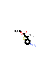 CCOC(=O)c1sc2ccc(N)cc2c1C